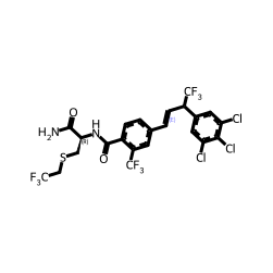 NC(=O)[C@H](CSCC(F)(F)F)NC(=O)c1ccc(/C=C/C(c2cc(Cl)c(Cl)c(Cl)c2)C(F)(F)F)cc1C(F)(F)F